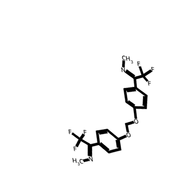 CN=C(c1ccc(OCOc2ccc(C(=NC)C(F)(F)F)cc2)cc1)C(F)(F)F